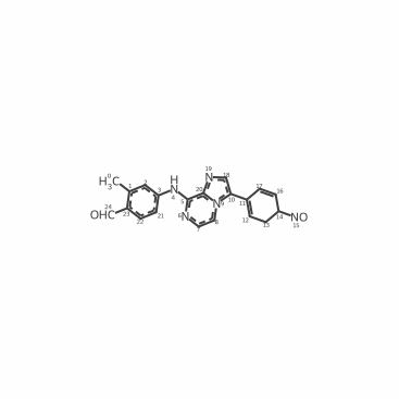 Cc1cc(Nc2nccn3c(C4=CCC(N=O)C=C4)cnc23)ccc1C=O